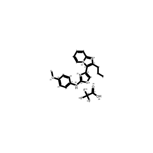 CCCc1nc2ccccn2c1-c1csc(Nc2ccc(OC)cc2)n1.O=C(O)C(F)(F)F